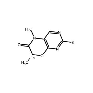 C[C@H]1Oc2nc(Br)ncc2N(C)C1=O